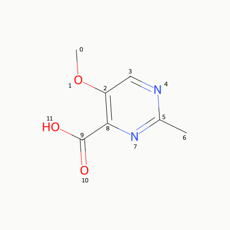 COc1cnc(C)nc1C(=O)O